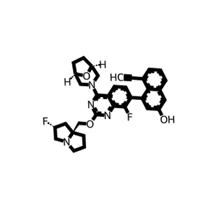 C#Cc1cccc2cc(O)cc(-c3ccc4c(N5C[C@H]6CC[C@@H](C5)O6)nc(OC[C@@]56CCCN5C[C@H](F)C6)nc4c3F)c12